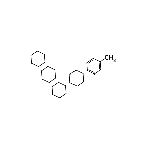 C1CCCCC1.C1CCCCC1.C1CCCCC1.C1CCCCC1.Cc1ccccc1